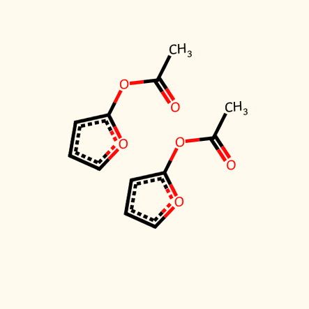 CC(=O)Oc1ccco1.CC(=O)Oc1ccco1